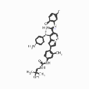 Cc1cc(NC(=O)NCC(C)(C)O)ccc1-c1cc2c(N[C@H]3CC[C@H](N)CC3)c(/C(N)=N/c3cc(F)ccc3Cl)cnn2c1